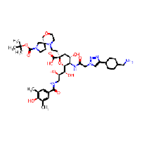 Cc1cc(C(=O)NC[C@@H](O)[C@@H](O)[C@@H]2O[C@@](CCN3CCOC[C@@]34CCN(C(=O)OC(C)(C)C)C4)(C(=O)O)C[C@H](O)[C@H]2NC(=O)Cn2cc(C3CCC(CN)CC3)nn2)cc(C)c1O